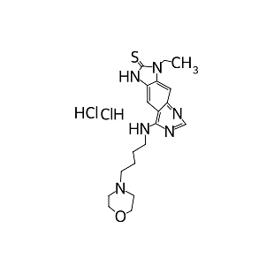 CCn1c(=S)[nH]c2cc3c(NCCCCN4CCOCC4)ncnc3cc21.Cl.Cl